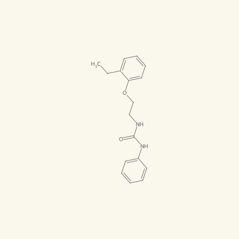 CCc1ccccc1OCCNC(=O)Nc1ccccc1